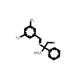 CCOC(=O)C(CBr)(/N=C/c1cc(C(F)(F)F)cc(C(F)(F)F)c1)c1ccccc1